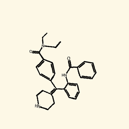 CCN(CC)C(=O)c1ccc(C(=C2CCNCC2)c2ccccc2NC(=O)c2ccccc2)cc1